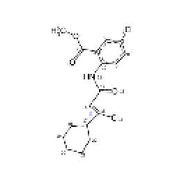 COC(=O)c1cc(Cl)ccc1NC(=O)/C=C(\Cl)C1CCCCC1